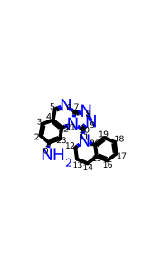 Nc1ccc2cnc3nnc(N4CCCc5ccccc54)n3c2c1